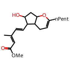 CCCCCC1=CCC2C(CC(O)C2C=CC(C)=CC(=O)OC)O1